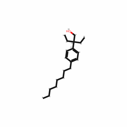 CCCCCCCCc1ccc(C(CC)(CC)CO)cc1